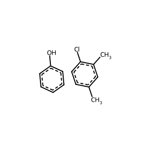 Cc1ccc(Cl)c(C)c1.Oc1ccccc1